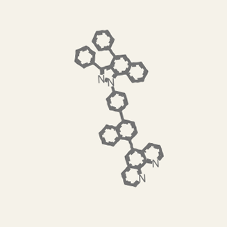 c1ccc(-c2cc3ccccc3c3c2c(-c2ccccc2)nn3-c2ccc(-c3ccc(-c4cc5cccnc5c5ncccc45)c4ccccc34)cc2)cc1